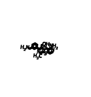 Cc1nc(-c2cccc(CN)c2)c(CO)nc1Sc1ccnc(N)c1Cl